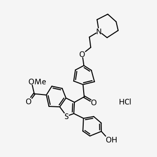 COC(=O)c1ccc2c(C(=O)c3ccc(OCCN4CCCCC4)cc3)c(-c3ccc(O)cc3)sc2c1.Cl